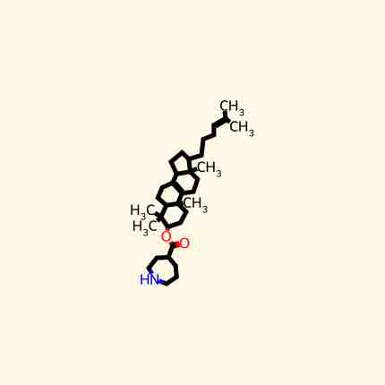 CC(C)=CCCCC1CCC2C3=C(CCC12C)C1(C)CCC(OC(=O)C2CCCNCC2)C(C)(C)C1CC3